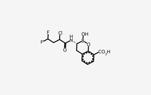 O=C(O)c1cccc2c1OB(O)[C@@H](NC(=O)C(Cl)CC(F)F)C2